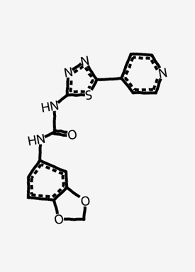 O=C(Nc1ccc2c(c1)OCO2)Nc1nnc(-c2ccncc2)s1